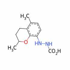 Cc1ccc(NNC(=O)O)c2c1CCC(C)O2